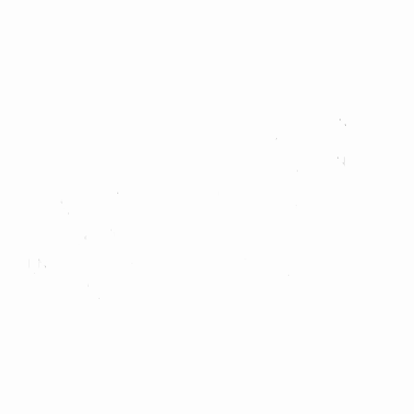 Cn1nccc1C1CCCC1Oc1ccc(S(N)(=O)=O)c(F)c1